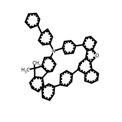 CC1(C)c2ccccc2-c2ccc(N(c3ccc(-c4ccccc4)cc3)c3ccc(-c4cccc5oc6c7ccccc7c(-c7ccc(-c8ccccc8)cc7)cc6c45)cc3)cc21